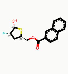 O=C(OC[C@@H]1C[C@H](F)[C@H](O)S1)c1ccc2ccccc2c1